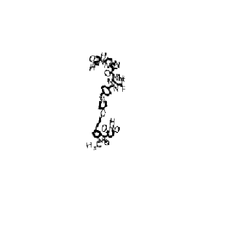 CN1C(=O)C(C2CCC(=O)NC2=O)c2cc(CCCOC3CCN(CC4CCC(C5N=C(NC(=O)c6cnn7ccc(N8C[C@H]9C[C@@H]8CO9)nc67)C(C(F)F)=N5)CC4)CC3)ccc21